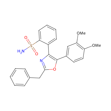 COc1ccc(-c2oc(Cc3ccccc3)nc2-c2ccccc2S(N)(=O)=O)cc1OC